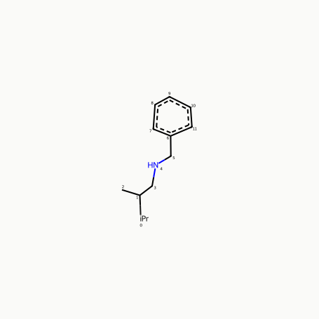 CC(C)C(C)CNCc1ccccc1